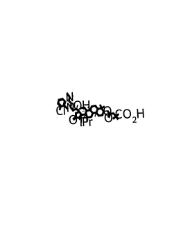 CC(C)C1=C2[C@H]3CCC4[C@@]5(C)CC[C@H](OC(=O)CC(C)(C)C(=O)O)C(C)(C)C5CC[C@@]4(C)[C@]3(C)CC[C@@]2([C@H](O)CN(CCN(C)C)Cc2ccccc2Cl)CC1=O